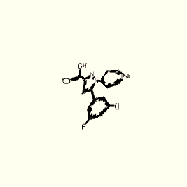 O=C(O)c1cc(-c2cc(F)cc(Cl)c2)n(-c2ccncc2)n1